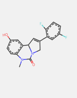 CN1C(=O)N2CC(c3cc(F)ccc3F)=CC2c2cc(O)ccc21